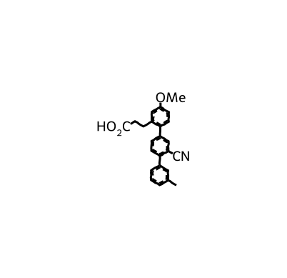 COc1ccc(-c2ccc(-c3cccc(C)c3)c(C#N)c2)c(CCC(=O)O)c1